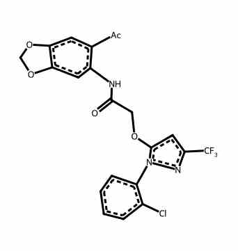 CC(=O)c1cc2c(cc1NC(=O)COc1cc(C(F)(F)F)nn1-c1ccccc1Cl)OCO2